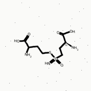 N=S(=O)(CC[C@H](N)C(=O)O)SCCC(N)C(=O)O